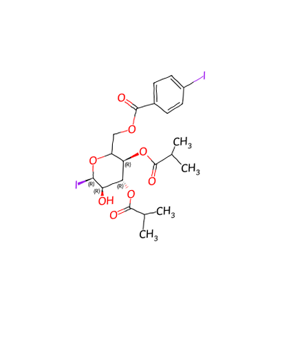 CC(C)C(=O)O[C@@H]1[C@@H](O)[C@@H](I)OC(COC(=O)c2ccc(I)cc2)[C@H]1OC(=O)C(C)C